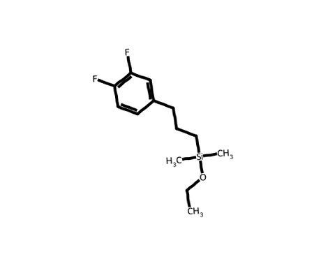 CCO[Si](C)(C)CCCc1ccc(F)c(F)c1